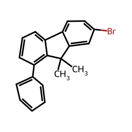 CC1(C)c2cc(Br)ccc2-c2cccc(-c3ccccc3)c21